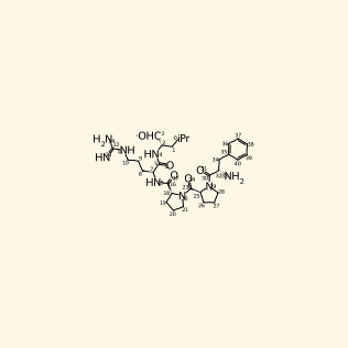 CC(C)C[C@@H]([C]=O)NC(=O)[C@H](CCCNC(=N)N)NC(=O)[C@@H]1CCCN1C(=O)[C@@H]1CCCN1C(=O)[C@@H](N)Cc1ccccc1